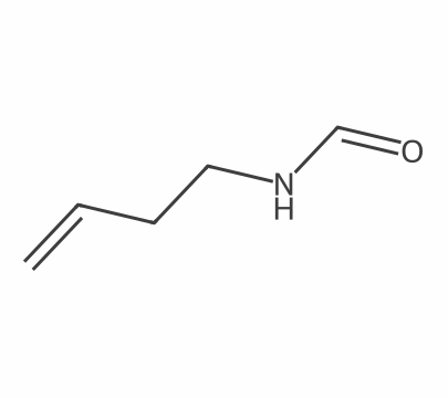 C=CCCNC=O